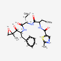 COCC(NC(=O)c1cnc(C)s1)C(=O)N[C@@H](COC)C(=O)NC(Cc1ccccc1)C(=O)C1(C)CO1